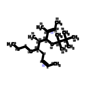 C/C=C\C[C@H](OCSC)[C@H](C)[C@H](O[Si](C)(C)C(C)(C)C)/C(C)=C/C